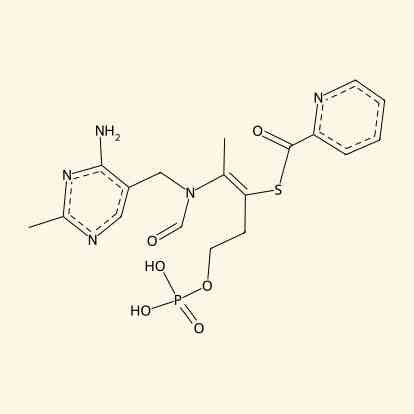 CC(=C(CCOP(=O)(O)O)SC(=O)c1ccccn1)N(C=O)Cc1cnc(C)nc1N